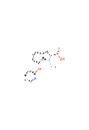 Cn1c(C(=O)O)cc2cccc(Oc3ccncn3)c21